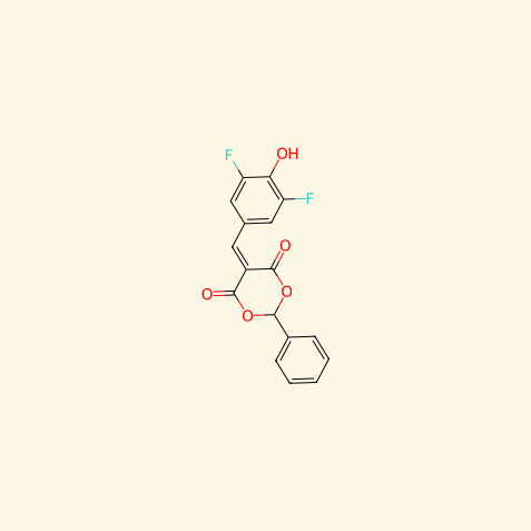 O=C1OC(c2ccccc2)OC(=O)C1=Cc1cc(F)c(O)c(F)c1